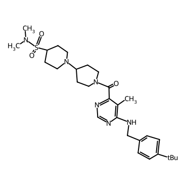 Cc1c(NCc2ccc(C(C)(C)C)cc2)ncnc1C(=O)N1CCC(N2CCC(S(=O)(=O)N(C)C)CC2)CC1